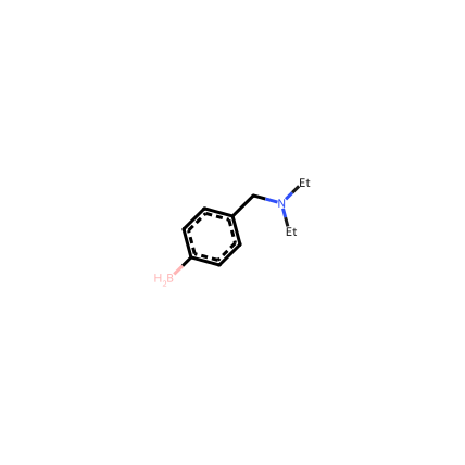 Bc1ccc(CN(CC)CC)cc1